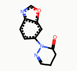 O=C1CCC=NN1c1ccc2ncoc2c1